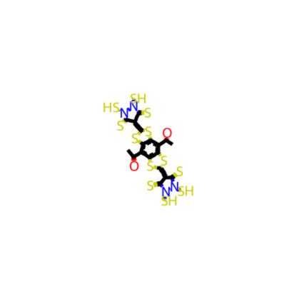 CC(=O)c1c2c(c(C(C)=O)c3c1SC(=C1C(=S)N(S)N(S)C1=S)S3)SC(=C1C(=S)N(S)N(S)C1=S)S2